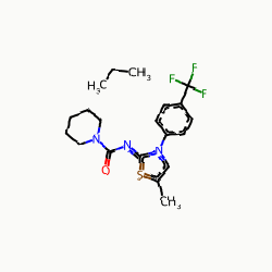 CCC.Cc1cn(-c2ccc(C(F)(F)F)cc2)c(=NC(=O)N2CCCCC2)s1